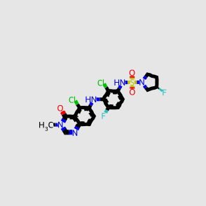 Cn1cnc2ccc(Nc3c(F)ccc(NS(=O)(=O)N4CC[C@@H](F)C4)c3Cl)c(Cl)c2c1=O